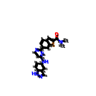 CCN(CC)C(=O)c1cc2ccc(-c3nccc(Nc4ccc5[nH]ncc5c4)n3)cc2s1